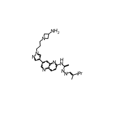 C=C(/N=N\C=C(/C)C(C)C)Nc1ccc2ncc(-c3cnn(CCCN4CC(N)C4)c3)cc2n1